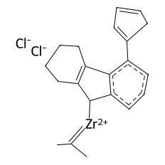 C[C](C)=[Zr+2][CH]1C2=C(CCCC2)c2c(C3=CC=CC3)cccc21.[Cl-].[Cl-]